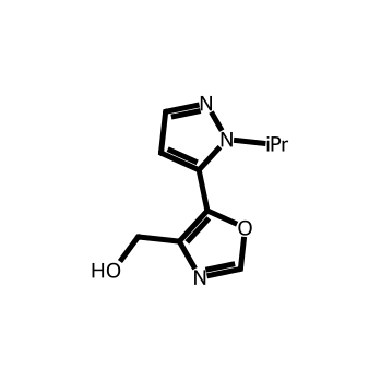 CC(C)n1nccc1-c1ocnc1CO